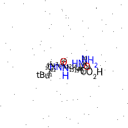 CC(C)(C)Cc1cccc(CNC(=O)NCCCC[C@H](NC(N)=O)C(=O)O)c1